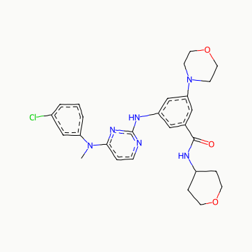 CN(c1cccc(Cl)c1)c1ccnc(Nc2cc(C(=O)NC3CCOCC3)cc(N3CCOCC3)c2)n1